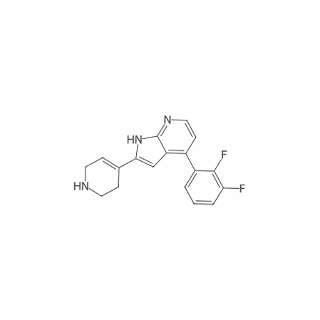 Fc1cccc(-c2ccnc3[nH]c(C4=CCNCC4)cc23)c1F